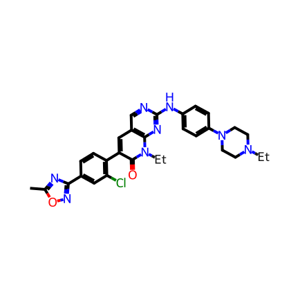 CCN1CCN(c2ccc(Nc3ncc4cc(-c5ccc(-c6noc(C)n6)cc5Cl)c(=O)n(CC)c4n3)cc2)CC1